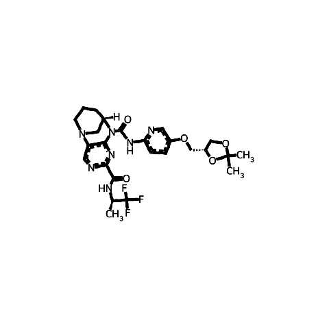 C[C@@H](NC(=O)c1ncc2c(n1)N(C(=O)Nc1ccc(OC[C@@H]3COC(C)(C)O3)cn1)[C@H]1CCCN2C1)C(F)(F)F